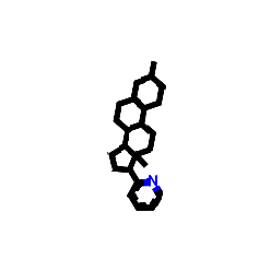 CC1CCC2C(CCC3C2CCC2(C)C(c4ccccn4)CCC32)C1